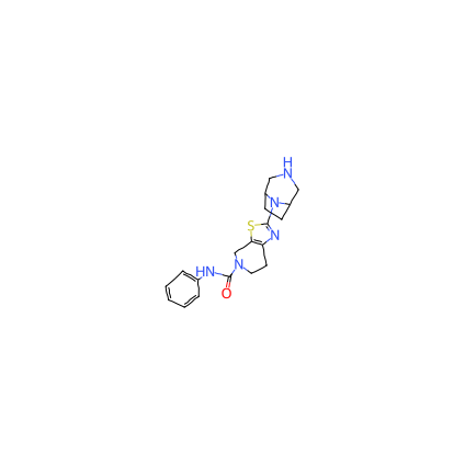 O=C(Nc1ccccc1)N1CCc2nc(N3C4CCC3CNC4)sc2C1